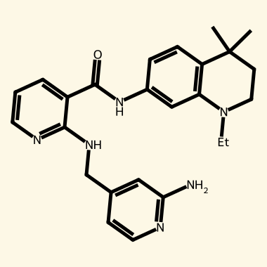 CCN1CCC(C)(C)c2ccc(NC(=O)c3cccnc3NCc3ccnc(N)c3)cc21